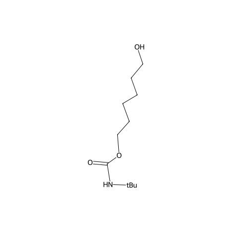 CC(C)(C)NC(=O)OCCCCCCO